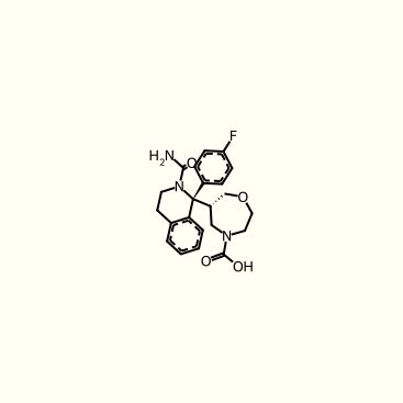 NC(=O)N1CCc2ccccc2[C@@]1(c1ccc(F)cc1)[C@@H]1COCCN(C(=O)O)C1